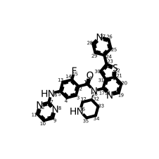 O=C(c1ccc(Nc2ncccn2)cc1F)N(c1nccc2sc(-c3ccncc3)cc12)[C@@H]1CCCNC1